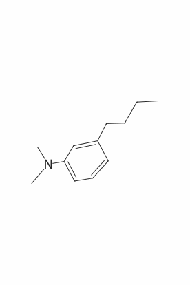 CCCCc1cccc(N(C)C)c1